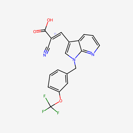 N#C/C(=C\c1cn(Cc2cccc(OC(F)(F)F)c2)c2ncccc12)C(=O)O